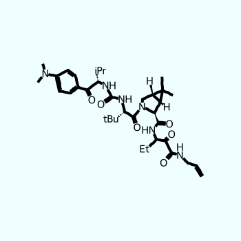 C=CCNC(=O)C(=O)C(CC)NC(=O)[C@@H]1[C@@H]2[C@H](CN1C(=O)[C@@H](NC(=O)N[C@H](C(=O)c1ccc(N(C)C)cc1)C(C)C)C(C)(C)C)C2(C)C